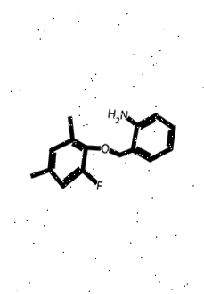 Cc1cc(C)c(OCc2ccccc2N)c(F)c1